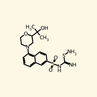 CC(C)(O)C1CN(c2cccc3cc(S(=O)(=O)NC(=N)SN)ccc23)CCO1